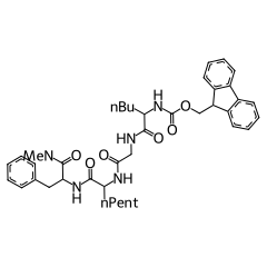 CCCCCC(NC(=O)CNC(=O)C(CCCC)NC(=O)OCC1c2ccccc2-c2ccccc21)C(=O)NC(Cc1ccccc1)C(=O)NC